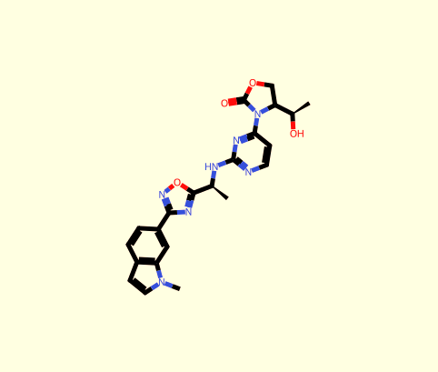 C[C@H](Nc1nccc(N2C(=O)OCC2[C@@H](C)O)n1)c1nc(-c2ccc3ccn(C)c3c2)no1